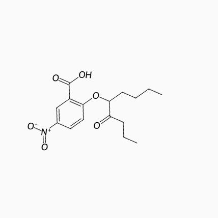 CCCCC(Oc1ccc([N+](=O)[O-])cc1C(=O)O)C(=O)CCC